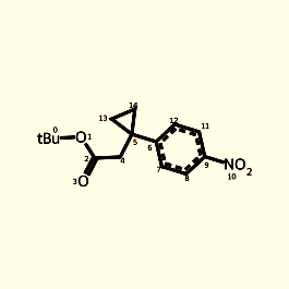 CC(C)(C)OC(=O)CC1(c2ccc([N+](=O)[O-])cc2)CC1